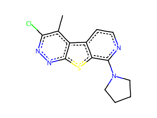 Cc1c(Cl)nnc2sc3c(N4CCCC4)nccc3c12